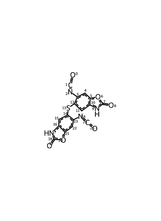 O=C=Nc1cc2oc(=O)[nH]c2cc1Sc1cc2[nH]c(=O)oc2cc1N=C=O